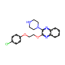 Clc1ccc(OCCOc2nc3ccccc3nc2N2CCNCC2)cc1